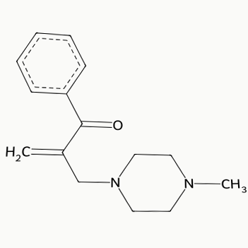 C=C(CN1CCN(C)CC1)C(=O)c1ccccc1